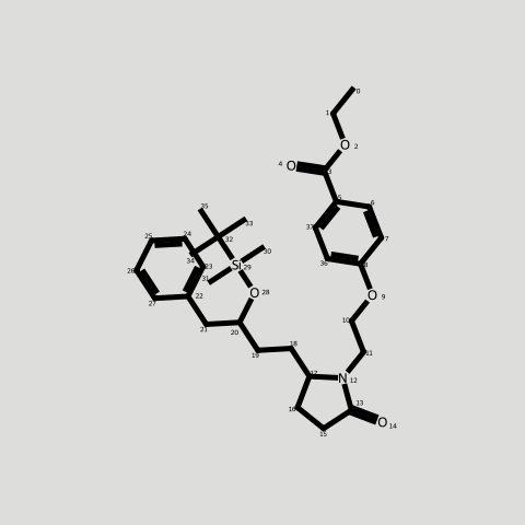 CCOC(=O)c1ccc(OCCN2C(=O)CCC2CCC(Cc2ccccc2)O[Si](C)(C)C(C)(C)C)cc1